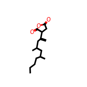 C=C(CC(C)CC(C)CCCC)C1CC(=O)OC1=O